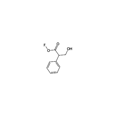 O=C(OF)C(CO)c1ccccc1